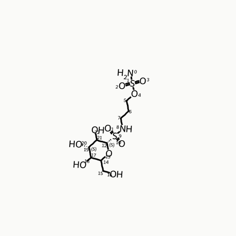 NS(=O)(=O)OCCCNS(=O)(=O)[C@@H]1OC(CO)C(O)[C@H](O)C1O